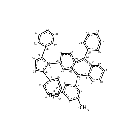 Cc1cc(C)cc(-c2c3ccccc3c(-c3ccccc3)c3ccc(-n4c(-c5ccccc5)ccc4-c4ccccc4)cc23)c1